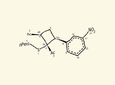 CCCCCS[C@]1(C(C)=O)[C@@H](C(C)=O)C[C@H]1c1cccc([N+](=O)[O-])c1